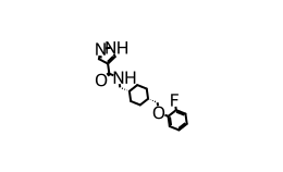 O=C(NC[C@H]1CC[C@@H](COc2ccccc2F)CC1)c1cn[nH]c1